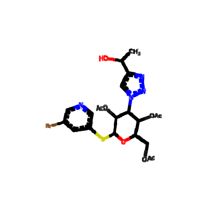 CC(=O)OCC1OC(Sc2cncc(Br)c2)C(OC(C)=O)C(n2cc(C(C)O)nn2)C1OC(C)=O